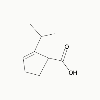 CC(C)C1=CCCC1C(=O)O